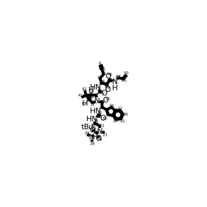 C#CCCC(NC(=O)[C@@H]1[C@@H]2[C@H](CN1C(=O)[C@@H](NC(=O)N[C@H](CN(C)S(=O)(=O)N(C)C)C(C)(C)C)C1Cc3ccccc3C1)C2(C)C)C(=O)C(=O)NCC=C